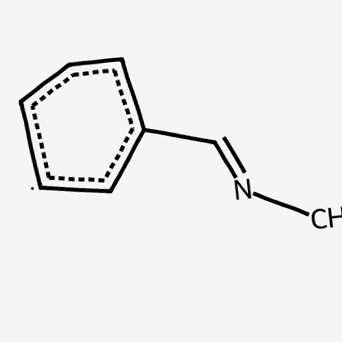 CN=Cc1c[c]ccc1